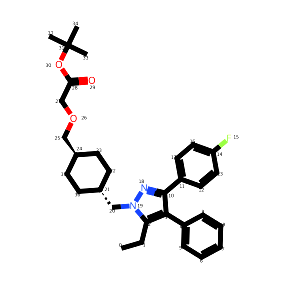 CCc1c(-c2ccccc2)c(-c2ccc(F)cc2)nn1C[C@H]1CC[C@H](COCC(=O)OC(C)(C)C)CC1